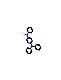 CCN(c1ccccc1)c1ccc(N(c2ccccc2)c2ccccc2)cc1